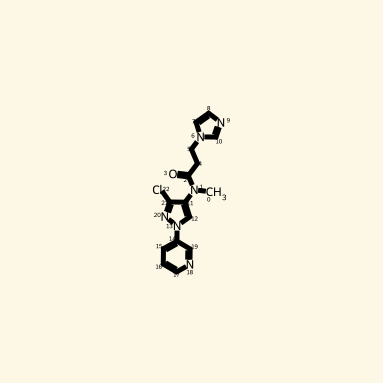 CN(C(=O)CCn1ccnc1)c1cn(-c2cccnc2)nc1Cl